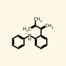 C=C(C)C(=C)c1ccccc1Nc1ccccc1